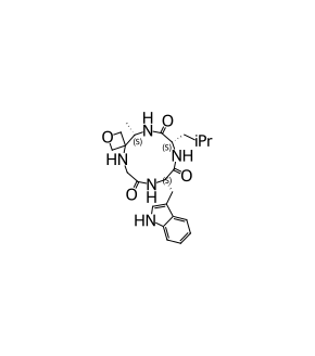 CC(C)C[C@@H]1NC(=O)[C@H](Cc2c[nH]c3ccccc23)NC(=O)CNC2(COC2)[C@H](C)NC1=O